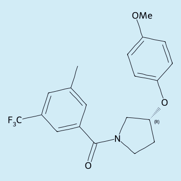 COc1ccc(O[C@@H]2CCN(C(=O)c3cc(C)cc(C(F)(F)F)c3)C2)cc1